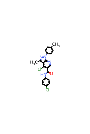 Cc1ccc(-n2nc(C)c3c(Cl)c(C(=O)Nc4ccc(Cl)cc4)cnc32)cc1